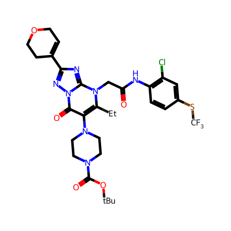 CCc1c(N2CCN(C(=O)OC(C)(C)C)CC2)c(=O)n2nc(C3=CCOCC3)nc2n1CC(=O)Nc1ccc(SC(F)(F)F)cc1Cl